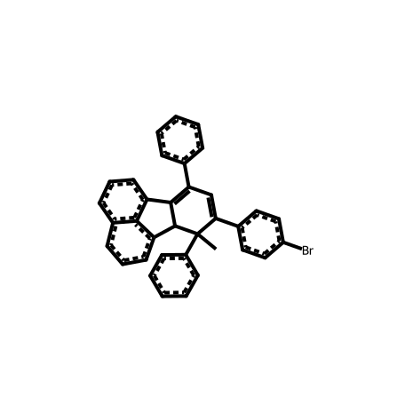 CC1(c2ccccc2)C(c2ccc(Br)cc2)=CC(c2ccccc2)=C2c3cccc4cccc(c34)C21